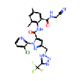 Cc1cc(C)c(NC(=O)c2cc(Cn3nnc(C(F)(F)F)n3)nn2-c2ncccc2Cl)c(C(=O)NCC#N)c1